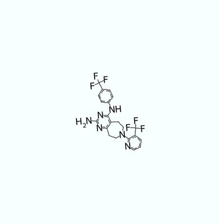 Nc1nc2c(c(Nc3ccc(C(F)(F)F)cc3)n1)CCN(c1ncccc1C(F)(F)F)CC2